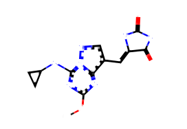 CC(C)Oc1nc(NC2CC2)n2ncc(/C=C3\NC(=O)NC3=O)c2n1